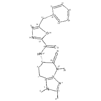 Cc1nc2c(n1C)CC[C@H](NC(=O)c1nnc(Cc3ccccc3)o1)C(=O)N2C